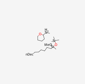 CCCCCCCCCCCCCCCC[Si](C)(OC)O[Si](C)(C)C.C[SiH2]C1CCCCO1